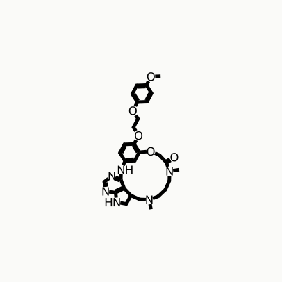 COc1ccc(OCCOc2ccc3cc2OCC(=O)N(C)CCCN(C)CC2CNc4ncnc(c42)N3)cc1